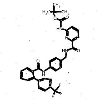 CC(C)(C)OC(=O)Nc1cccc(C(=O)NCc2ccc(NC(=O)c3ccccc3-c3ccc(C(F)(F)F)cc3)cc2)n1